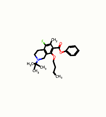 CCCCOc1c2c(c(F)c(C)c1C(=O)Oc1ccccc1)CCN(C(C)(C)C)C2